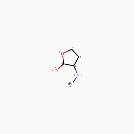 CC(C)NC1CCOC1O